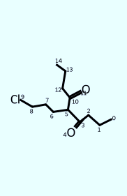 CCCC(=O)C(CCCCl)C(=O)CCC